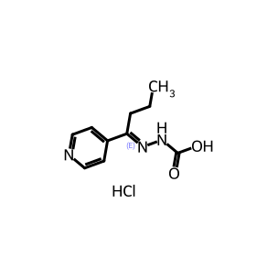 CCC/C(=N\NC(=O)O)c1ccncc1.Cl